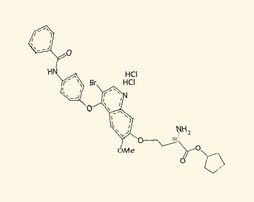 COc1cc2c(Oc3ccc(NC(=O)c4ccccc4)cc3)c(Br)cnc2cc1OCC[C@H](N)C(=O)OC1CCCC1.Cl.Cl